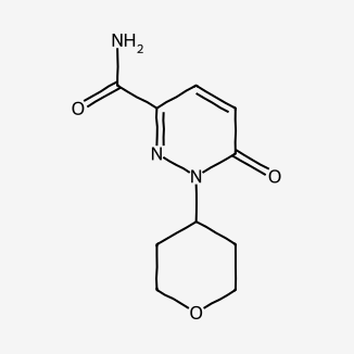 NC(=O)c1ccc(=O)n(C2CCOCC2)n1